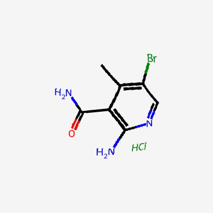 Cc1c(Br)cnc(N)c1C(N)=O.Cl